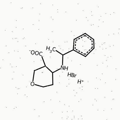 Br.CC(NC1CCOCC1C(=O)[O-])c1ccccc1.[H+]